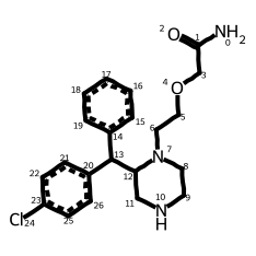 NC(=O)COCCN1CCNCC1C(c1ccccc1)c1ccc(Cl)cc1